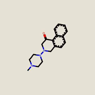 CN1CCN(N2CC(=O)c3c(ccc4ccccc34)C2)CC1